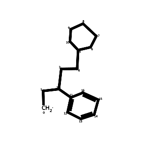 [CH2]CC(CCC1CCCCC1)c1ccccc1